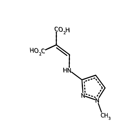 Cn1ccc(NC=C(C(=O)O)C(=O)O)n1